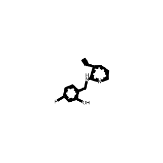 C#Cc1cccnc1NCc1ccc(F)cc1O